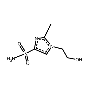 Cc1nc(S(N)(=O)=O)cn1CCO